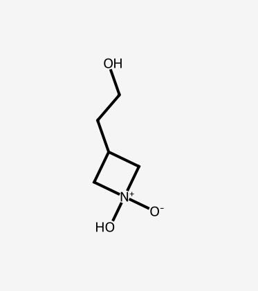 [O-][N+]1(O)CC(CCO)C1